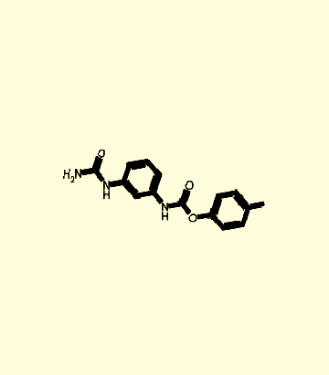 Cc1ccc(OC(=O)Nc2cccc(NC(N)=O)c2)cc1